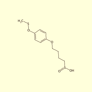 CSOc1ccc(OCCCCS(=O)O)cc1